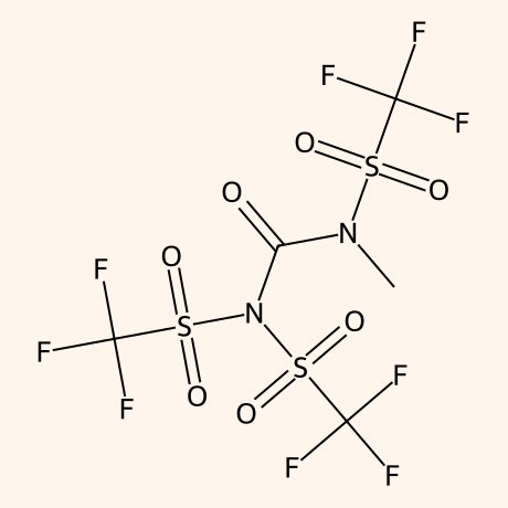 CN(C(=O)N(S(=O)(=O)C(F)(F)F)S(=O)(=O)C(F)(F)F)S(=O)(=O)C(F)(F)F